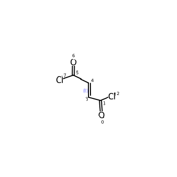 O=C(Cl)/C=C/C(=O)Cl